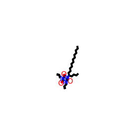 C=CCn1c(=O)n(CC=C)c(=O)n(C(CCCC)CCCCCCCCCCCCC)c1=O